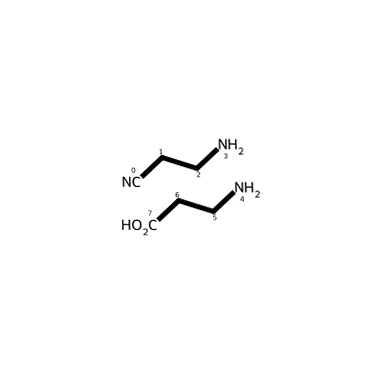 N#CCCN.NCCC(=O)O